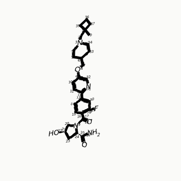 CC1(CN2CCC(COc3ccc(-c4ccc(C(=O)N5C[C@H](O)C[C@H]5C(N)=O)c(F)c4)nc3)CC2)CCC1